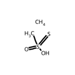 C.CS(=O)(O)=S